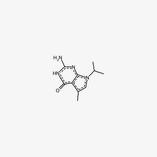 Cc1cn(C(C)C)c2nc(N)[nH]c(=O)c12